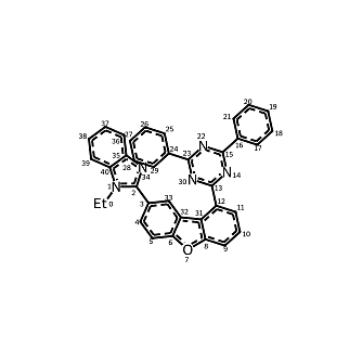 CCn1c(-c2ccc3oc4cccc(-c5nc(-c6ccccc6)nc(-c6ccccc6)n5)c4c3c2)nc2ccccc21